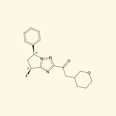 O=C(CC1CCCOC1)c1nc2n(n1)[C@H](c1ccccc1)C[C@@H]2F